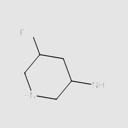 NC1CNCC(C(F)(F)F)C1